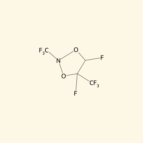 FC1ON(C(F)(F)F)OC1(F)C(F)(F)F